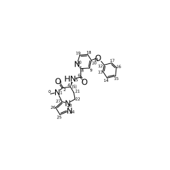 CN1C(=O)[C@@H](NC(=O)c2cc(Oc3ccccc3)ccn2)CCn2nccc21